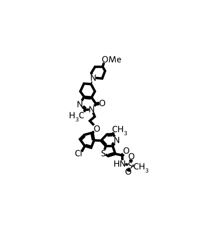 COC1CCN([C@H]2CCc3nc(C)n(CCOc4ccc(Cl)cc4-c4cc(C)nc5c(C(=O)NS(C)(=O)=O)csc45)c(=O)c3C2)CC1